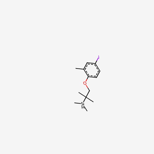 Cc1cc(I)ccc1OCC(C)(C)[SiH](C)C